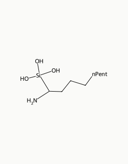 CCCCCCCCC(N)[Si](O)(O)O